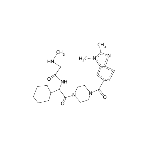 CNCC(=O)NC(C(=O)N1CCN(C(=O)c2ccc3nc(C)n(C)c3c2)CC1)C1CCCCC1